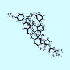 COc1ccc(CN(Cc2ccc(OC)cc2)S(=O)(=O)c2c(S(=O)(=O)N[C@@H]3CCN(C(=O)OC(C)(C)C)C3)ccc(-c3cccc(Br)n3)c2-c2nnn(Cc3ccc(OC)cc3)n2)cc1